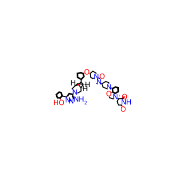 CN(C(=O)N1CCC(Oc2cccc(C3C4[C@H]5C[C@@H]3[C@H]4CCN(c3cc(-c4ccccc4O)nnc3N)C5)c2)CC1)C1CCN(c2cccc3c2OCCN3[C@]2(C)CCC(=O)NC2=O)CC1